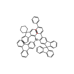 c1ccc(-c2ccc(-c3cc4c(cc3N(c3ccc5c6ccccc6c6ccccc6c5c3)c3cccc5c3-c3ccccc3C53CCCCC3)C3(c5ccccc5-c5ccccc53)c3ccccc3-4)cc2)cc1